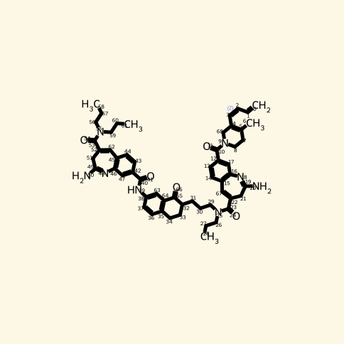 C=C/C=C\C1=C(C)CCN(C(=O)c2ccc3c(c2)N=C(N)CC(C(=O)N(CCC)CCCC2CCc4ccc(NC(=O)c5ccc6c(c5)N=C(N)CC(C(=O)N(CCC)CCC)=C6)cc4C2=O)=C3)C1